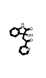 O=C(CC1(O)C(=O)Nc2ccccc21)c1ccccn1